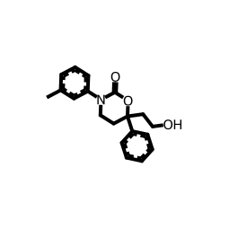 Cc1cccc(N2CCC(CCO)(c3ccccc3)OC2=O)c1